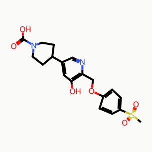 CS(=O)(=O)c1ccc(OCc2ncc(C3CCN(C(=O)O)CC3)cc2O)cc1